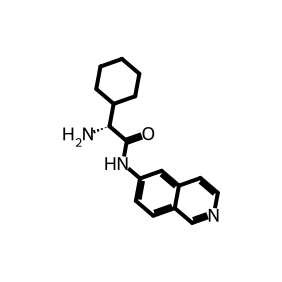 N[C@@H](C(=O)Nc1ccc2cnccc2c1)C1CCCCC1